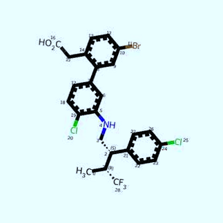 C[C@H]([C@H](CNc1cc(-c2cc(Br)ccc2CC(=O)O)ccc1Cl)c1ccc(Cl)cc1)C(F)(F)F